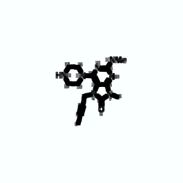 CC#CCn1c(=O)n(C)c2nc(NC)nc(N3CCNCC3)c21